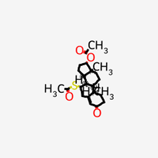 CC(=O)OC1CC[C@H]2[C@@H]3C(SC(C)=O)CC4=CC(=O)CC[C@]4(C)[C@@H]3CC[C@]12C